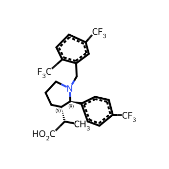 CC(C(=O)O)[C@@H]1CCCN(Cc2cc(C(F)(F)F)ccc2C(F)(F)F)[C@H]1c1ccc(C(F)(F)F)cc1